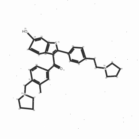 Cc1cc(C(=O)c2c(-c3ccc(CCN4CCCC4)cc3)sc3cc(O)ccc23)ccc1CN1CCCC1